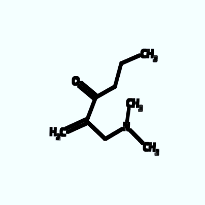 C=C(CN(C)C)C(=O)CCC